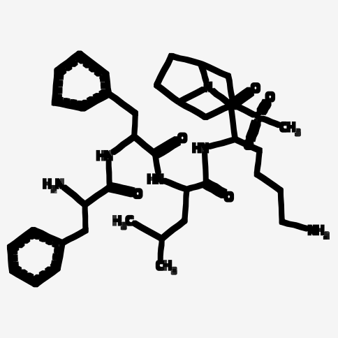 CC(C)CC(NC(=O)C(Cc1ccccc1)NC(=O)C(N)Cc1ccccc1)C(=O)NC(CCCCN)C(=O)N1C2CCC1CN(S(C)(=O)=O)C2